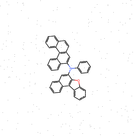 c1ccc(N(c2cc3ccc4ccccc4c3c3ccccc23)c2cc3ccccc3c3c2oc2ccccc23)cc1